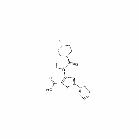 CCN(c1cc(-c2ccccc2)sc1C(=O)O)C(=O)[C@H]1CC[C@H](C)CC1